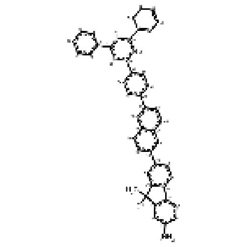 CC1(C)c2cc(N)ccc2-c2ccc(-c3ccc4cc(-c5ccc(-c6nc(C7=CC=CCC7)nc(-c7ccccc7)n6)cc5)ccc4c3)cc21